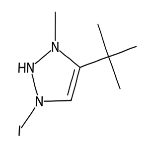 CN1NN(I)C=C1C(C)(C)C